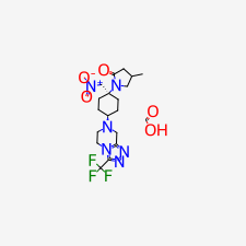 CC1CC(=O)N([C@]2(C[N+](=O)[O-])CC[C@H](N3CCn4c(nnc4C(F)(F)F)C3)CC2)C1.O=CO